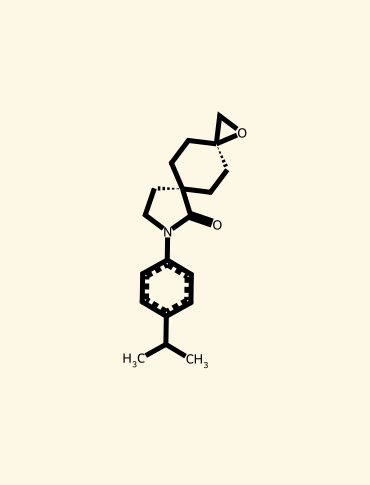 CC(C)c1ccc(N2CC[C@]3(CC[C@]4(CC3)CO4)C2=O)cc1